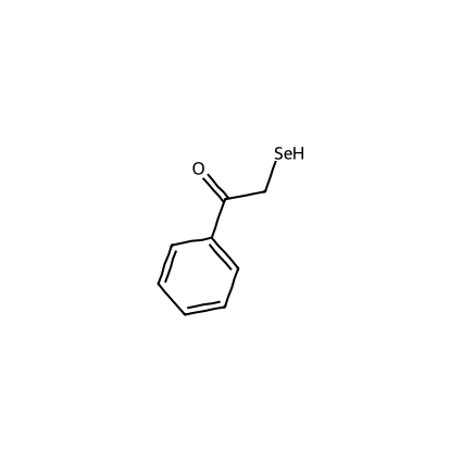 O=C(C[SeH])c1ccccc1